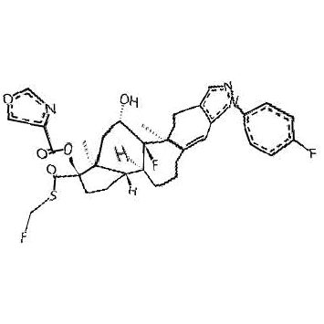 C[C@]12Cc3cnn(-c4ccc(F)cc4)c3C=C1CC[C@H]1[C@@H]3CC[C@](OC(=O)c4cocn4)(C(=O)SCF)[C@@]3(C)C[C@H](O)[C@@]12F